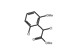 COC(=O)C(Cl)c1c(Cl)cccc1OC